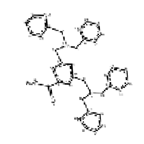 COC(=O)c1cc(CN(Cc2ccccn2)Cc2ccccn2)cc(CN(Cc2ccccn2)Cc2ccccn2)c1